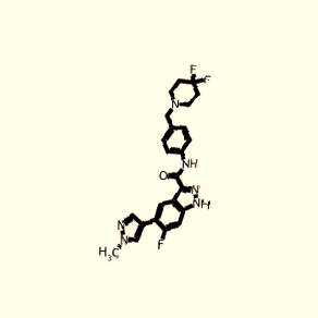 Cn1cc(-c2cc3c(C(=O)Nc4ccc(CN5CCC(F)(F)CC5)cc4)n[nH]c3cc2F)cn1